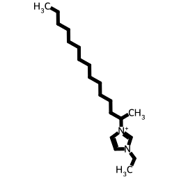 CCCCCCCCCCCCCC(C)[n+]1ccn(CC)c1